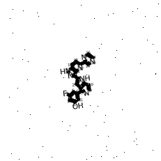 Oc1cc(F)cc(-c2nccc3[nH]c(-c4n[nH]c5ccc(-c6cnccn6)nc45)cc23)c1